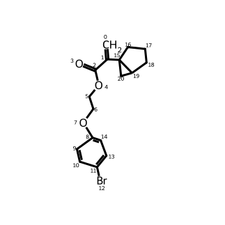 C=C(C(=O)OCCOc1ccc(Br)cc1)C12CCCC1C2